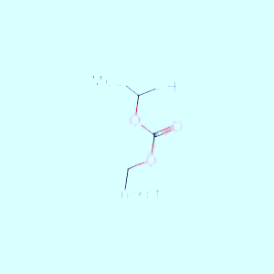 CCCCCCOC(=O)OC(C)OC